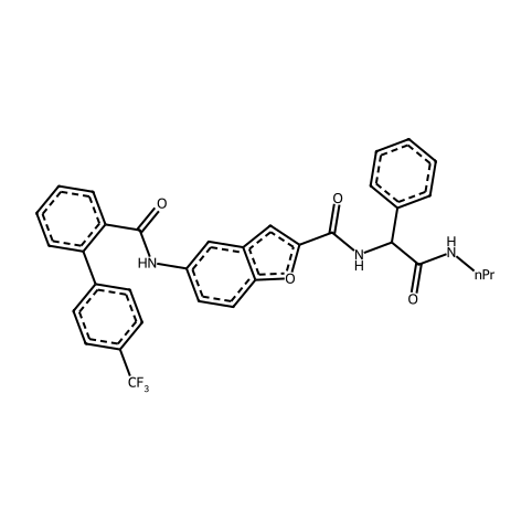 CCCNC(=O)C(NC(=O)c1cc2cc(NC(=O)c3ccccc3-c3ccc(C(F)(F)F)cc3)ccc2o1)c1ccccc1